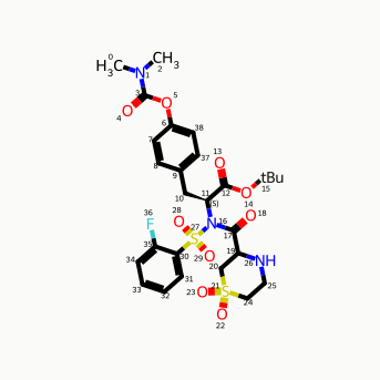 CN(C)C(=O)Oc1ccc(C[C@@H](C(=O)OC(C)(C)C)N(C(=O)C2CS(=O)(=O)CCN2)S(=O)(=O)c2ccccc2F)cc1